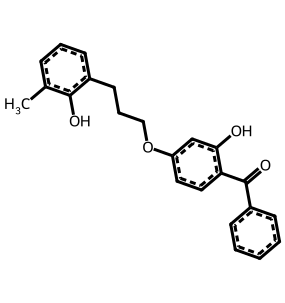 Cc1cccc(CCCOc2ccc(C(=O)c3ccccc3)c(O)c2)c1O